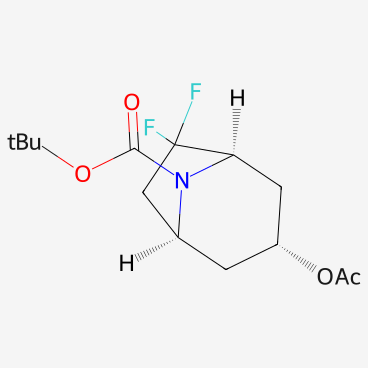 CC(=O)O[C@@H]1C[C@H]2CC(F)(F)[C@@H](C1)N2C(=O)OC(C)(C)C